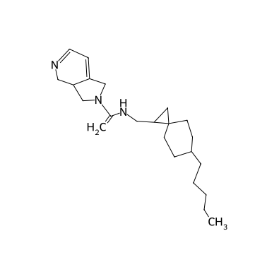 C=C(NCC1CC12CCC(CCCCC)CC2)N1CC2=CC=NCC2C1